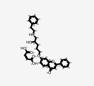 O=C(O)/C=C\C(=O)O.O=c1cc(-c2ccccc2)oc2cc(OCCCC(O)CNCCc3ccccc3)ccc12